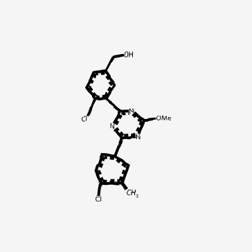 COc1nc(-c2ccc(Cl)c(C)c2)nc(-c2cc(CO)ccc2Cl)n1